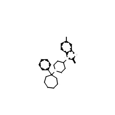 O=c1[nH]c2cc(F)ccc2n1C1CCN(C2(c3ccccc3)CCCCCC2)CC1